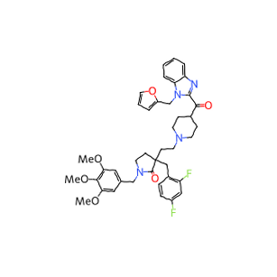 COc1cc(CN2CCC(CCN3CCC(C(=O)c4nc5ccccc5n4Cc4ccco4)CC3)(Cc3ccc(F)cc3F)C2=O)cc(OC)c1OC